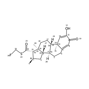 C[C@@H]1C[C@H]2[C@@H]3CCC4=CC(=O)C(O)=C[C@]4(C)[C@H]3CC[C@]2(C)[C@H]1C(=O)SCF